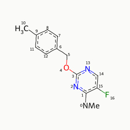 CNc1nc(OCc2ccc(C)cc2)ncc1F